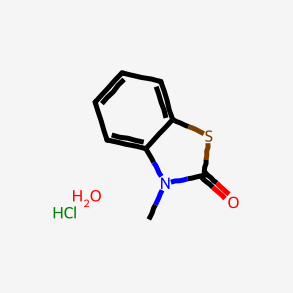 Cl.Cn1c(=O)sc2ccccc21.O